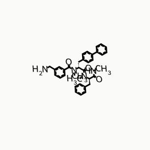 CNC(=O)[C@@H](Cc1ccccc1)N(C)C(=O)[C@@H](Cc1ccc(-c2ccccc2)cc1)N(C)C(=O)c1cccc(CN)c1